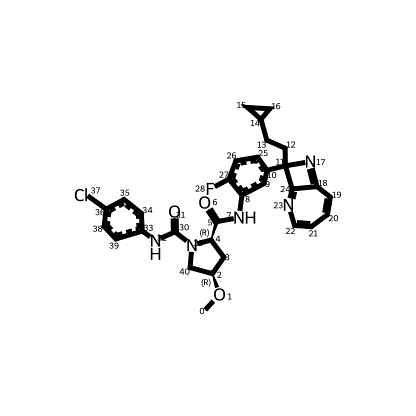 CO[C@@H]1C[C@H](C(=O)Nc2cc(C3(CCC4CC4)N=C4C=CC=CN=C43)ccc2F)N(C(=O)Nc2ccc(Cl)cc2)C1